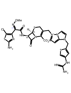 CO/N=C(\C(=O)N[C@@H]1C(=O)N2C(C(=O)O)=C(C[n+]3ccc4n(Cc5cc(NC(=N)N)cs5)ccn43)CS[C@H]12)c1nc(N)sc1Cl